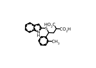 Cc1ccccc1C(CC(C(=O)O)C(=O)O)Sc1cc2ccccc2[nH]1